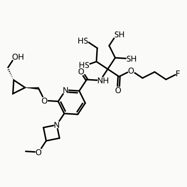 COC1CN(c2ccc(C(=O)NC(C(=O)OCCCF)(C(S)CS)C(S)CS)nc2OC[C@H]2C[C@@H]2CO)C1